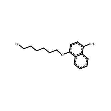 Nc1ccc(OCCCCCCBr)c2ccccc12